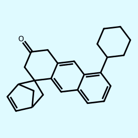 O=C1Cc2cc3c(C4CCCCC4)cccc3cc2C2(C1)CC1C=CC2C1